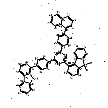 CC1(C)c2ccccc2-c2c(-c3nc(-c4ccc(-c5cccc6ccccc56)cc4)nc(-c4ccc(-c5cccc6c5sc5ccccc56)cc4)n3)cccc21